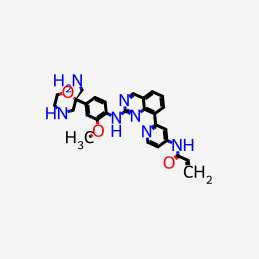 C=CC(=O)Nc1ccnc(-c2cccc3cnc(Nc4ccc([C@]5(CN)CNCCO5)cc4OC)nc23)c1